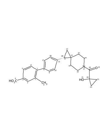 Cc1cc(C(=O)O)ccc1-c1ccc([C@@H]2CC23CCN(C(=O)C2(O)CC2)CC3)cc1